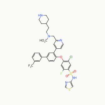 O=C(O)N(CCC1CCNCC1)Cc1cc(-c2cc(-c3cccc(C(F)(F)F)c3)ccc2Oc2cc(F)c(S(=O)(=O)Nc3cscn3)cc2Cl)ccn1